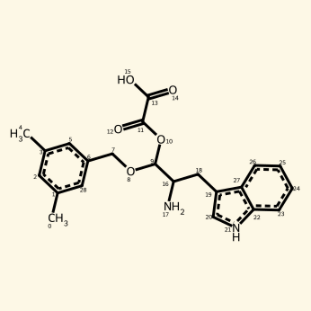 Cc1cc(C)cc(COC(OC(=O)C(=O)O)C(N)Cc2c[nH]c3ccccc23)c1